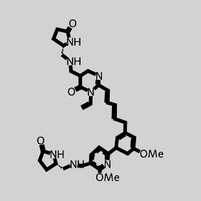 C=CN1C(=O)C(CNC[C@@H]2CCC(=O)N2)CN=C1/C=C/C=C/CC1=CC(c2ccc(CNC[C@@H]3CCC(=O)N3)c(OC)n2)CC(OC)=C1